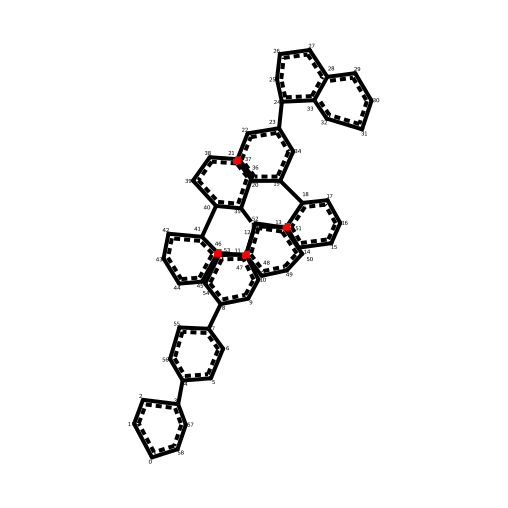 c1ccc(-c2ccc(-c3ccc(N(c4ccccc4-c4cccc(-c5cccc6ccccc56)c4)c4ccccc4-c4ccccc4-c4ccccc4)cc3)cc2)cc1